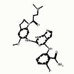 COc1cc2c(cc1Nc1nc(Nc3cccc(F)c3C(N)=O)c3ccnc-3[nH]1)N(C(=O)CCN(C)C)CC2